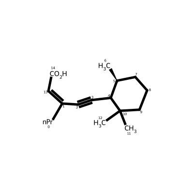 CCC/C(C#CC1[C@@H](C)CCCC1(C)C)=C/C(=O)O